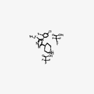 Cc1nnc(C2CCNCC2)n1-c1ccc(Cl)cc1F.O=C(O)C(F)(F)F.O=C(O)C(F)(F)F